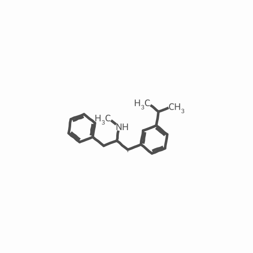 CNC([CH]c1cccc(C(C)C)c1)Cc1ccccc1